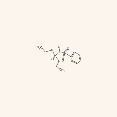 CCOP(=O)(OCC)C(Cl)S(=O)(=O)c1ccccc1